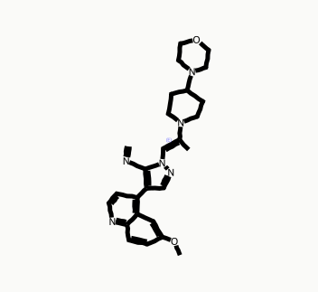 C=Nc1c(-c2ccnc3ccc(OC)cc23)cnn1/C=C(\C)N1CCC(N2CCOCC2)CC1